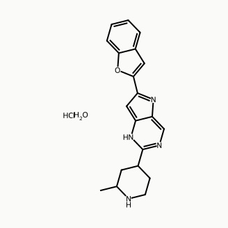 CC1CC(c2ncc3nc(-c4cc5ccccc5o4)cc-3[nH]2)CCN1.Cl.O